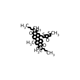 CCCCC(C)N1C(=O)c2ccc3c4c(-c5cc6c(s5)-c5sc(C)cc5C6=O)cc5c6c(ccc(c7c(C)cc(c2c37)C1=O)c64)C(=O)N(C(C)CCCC)C5=O